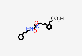 O=C(O)CCc1ccccc1CCCC1=NC(C(=O)NCCCCC2CCCCC2)CO1